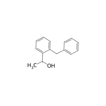 C[C](O)c1ccccc1Cc1ccccc1